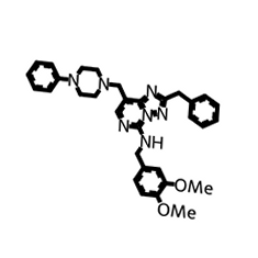 COc1ccc(CNc2ncc(CN3CCN(c4ccccc4)CC3)c3nc(Cc4ccccc4)nn23)cc1OC